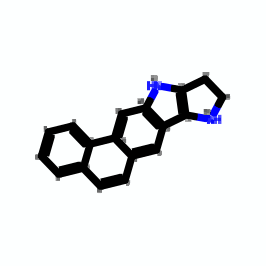 c1ccc2c(c1)ccc1cc3c4c([nH]c3cc12)CCN4